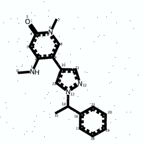 CNc1cc(=O)n(C)cc1-c1cnn(C(C)c2ccccc2)c1